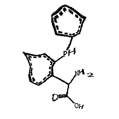 NC(C(=O)O)c1ccccc1Pc1ccccc1